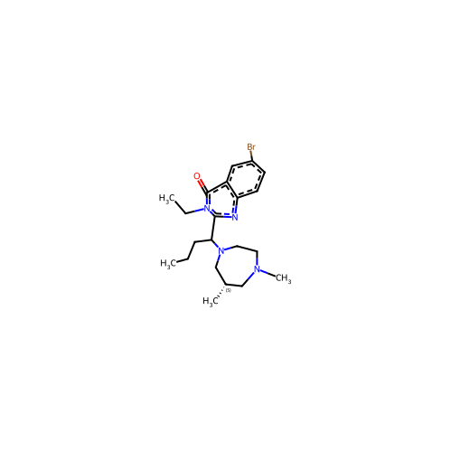 CCCC(c1nc2ccc(Br)cc2c(=O)n1CC)N1CCN(C)C[C@H](C)C1